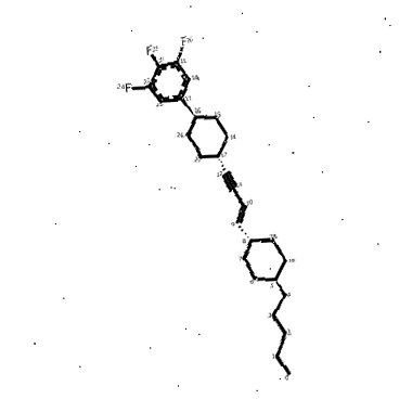 CCCCC[C@H]1CC[C@H](C=CC#C[C@H]2CC[C@H](c3cc(F)c(F)c(F)c3)CC2)CC1